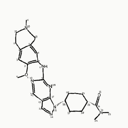 COc1cc2c(cc1Nc1ncc3cnn([C@H]4CC[C@@H](C(=O)N(C)C)CC4)c3n1)CN(C)CC2